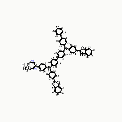 C/C=C\C(=C/C)c1ccc(N(c2ccc(-c3ccc(N(c4ccc(-c5ccccc5)cc4)c4ccc(-c5nc6ccccc6o5)cc4)cc3)cc2)c2ccc(-c3nc4ccccc4o3)cc2)cc1